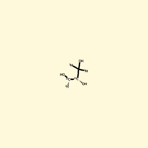 [2H][13C@H](O)[13C@@H](O)C([2H])([2H])O